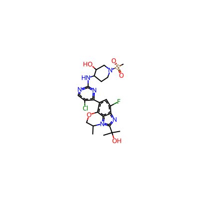 CC1COc2c(-c3nc(NC4CCN(S(C)(=O)=O)CC4O)ncc3Cl)cc(F)c3nc(C(C)(C)O)n1c23